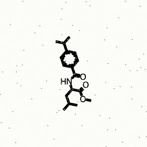 COC(=O)C(CC(C)C)NC(=O)c1ccc(C(C)C)cc1